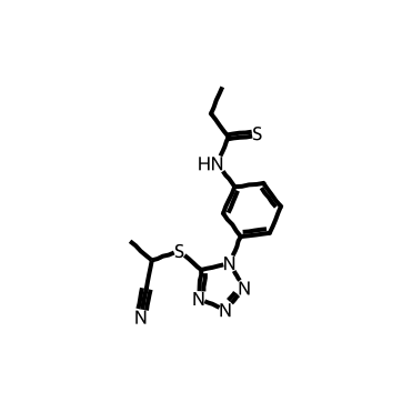 CCC(=S)Nc1cccc(-n2nnnc2SC(C)C#N)c1